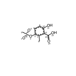 Cc1c(OS(C)(=O)=O)ccc(O)c1C(=O)O